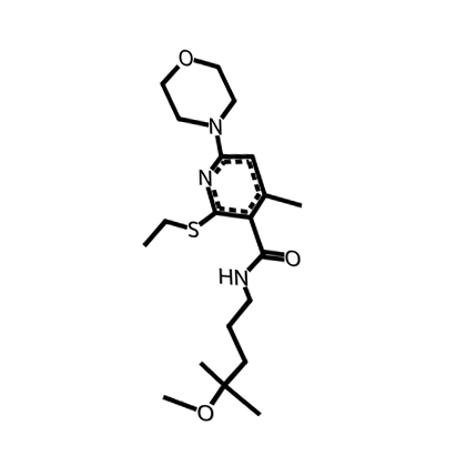 CCSc1nc(N2CCOCC2)cc(C)c1C(=O)NCCCC(C)(C)OC